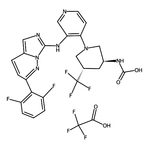 O=C(O)C(F)(F)F.O=C(O)N[C@H]1C[C@H](C(F)(F)F)CN(c2ccncc2Nc2ncc3ccc(-c4c(F)cccc4F)nn23)C1